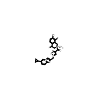 C[N+]1(C(=O)c2cn(Cc3cn4cc(C5CC5)ccc4n3)nn2)Cc2c(ccc(Cl)c2F)C(F)C1